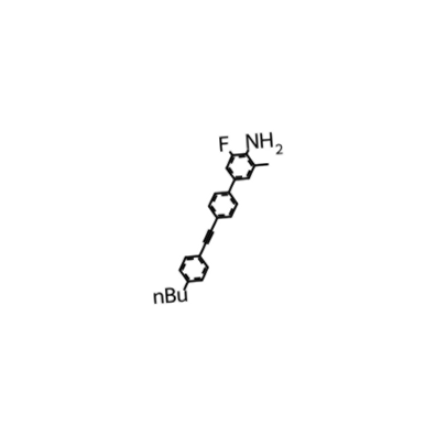 CCCCc1ccc(C#Cc2ccc(-c3cc(C)c(N)c(F)c3)cc2)cc1